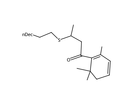 CCCCCCCCCCCCSC(C)CC(=O)C1=C(C)C=CCC1(C)C